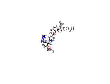 CC(C(=O)O)C(c1ccc2c(c1)O[C@H](C1CCN(Cc3cc(N=[N+]=[N-])ccc3OC(F)(F)F)CC1)CC2)C1CC1